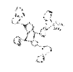 CC1(C)c2ccccc2-c2cc(-c3c4ccc(N5CCCc6ccccc65)cc4c(-c4ccccc4)c4ccc(N5CCCc6ccccc65)cc34)ccc21